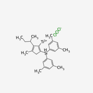 CCC(C)C1=C(C)CC([SiH](c2cc(C)cc(C)c2)c2cc(C)cc(C)c2)=[C]1[Ti+3].[Cl-].[Cl-].[Cl-]